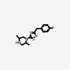 CC1CN(c2nc(Cc3ccc(F)cc3)ns2)C(C)CN1